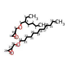 CCCCC(CC)COCC1CO1.CCCCCCCCCCCCOCC1CO1